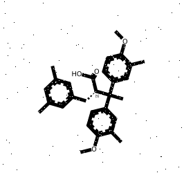 COc1ccc(C(C)(c2ccc(OC)c(C)c2)[C@H](Cc2cc(C)cc(C)c2)C(=O)O)cc1C